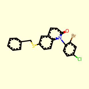 O=c1ccc2cc(SCc3ccccc3)ccc2n1-c1ccc(Cl)cc1Br